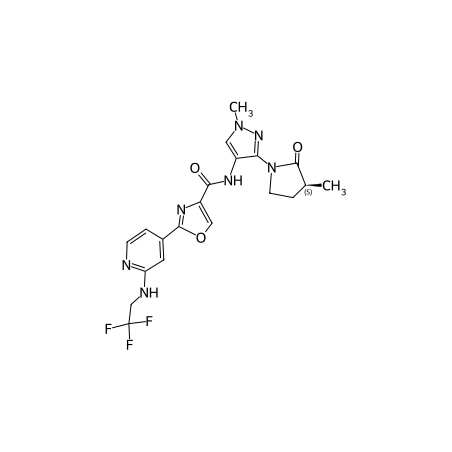 C[C@H]1CCN(c2nn(C)cc2NC(=O)c2coc(-c3ccnc(NCC(F)(F)F)c3)n2)C1=O